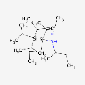 C/C=C(\C)[Si](CCC)(NC(C)CC)[Si](C(C)C)(C(C)C)C(C)C